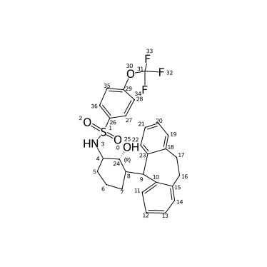 O=S(=O)(NC1CCCC(C2c3ccccc3CCc3ccccc32)[C@H]1O)c1ccc(OC(F)(F)F)cc1